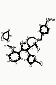 COc1ccc(CN2CCn3nc(-c4ccncc4NC[C@H]4CCCO4)c(-c4ccc(Cl)s4)c3C2=O)cc1